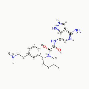 CC1CCC(c2cccc(CCN(C)C)c2)N(C(=O)C(=O)Nc2cnc(N)c3cn[nH]c23)C1